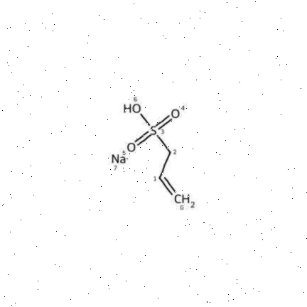 C=CCS(=O)(=O)O.[Na]